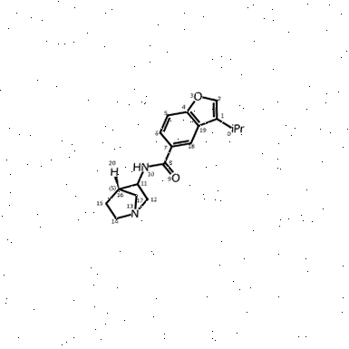 CC(C)c1coc2ccc(C(=O)NC3CN4CC[C@H]3C4)cc12